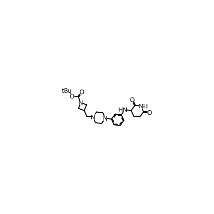 CC(C)(C)OC(=O)N1CC(CN2CCN(c3cccc(NC4CCC(=O)NC4=O)c3)CC2)C1